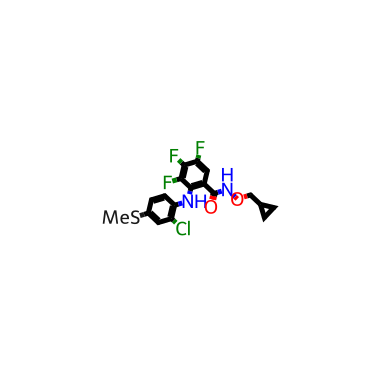 CSc1ccc(Nc2c(C(=O)NOCC3CC3)cc(F)c(F)c2F)c(Cl)c1